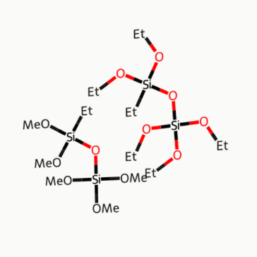 CCO[Si](CC)(OCC)O[Si](OCC)(OCC)OCC.CC[Si](OC)(OC)O[Si](OC)(OC)OC